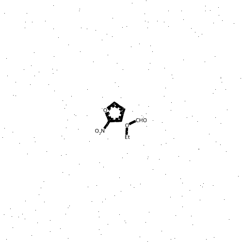 CCOC=O.O=[N+]([O-])c1ccco1